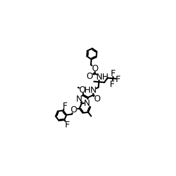 COc1nc2c(OCc3c(F)cccc3F)cc(C)cn2c1C(=O)NCC(C)(CCC(F)(F)F)NC(=O)OCc1ccccc1